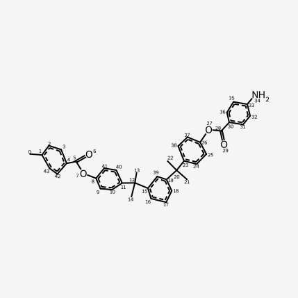 Cc1ccc(C(=O)Oc2ccc(C(C)(C)c3cccc(C(C)(C)c4ccc(OC(=O)c5ccc(N)cc5)cc4)c3)cc2)cc1